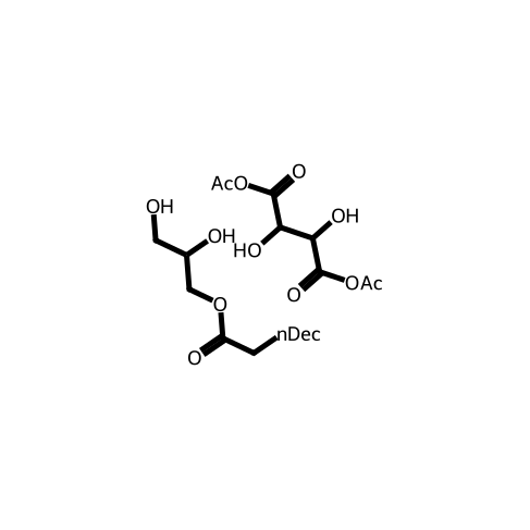 CC(=O)OC(=O)C(O)C(O)C(=O)OC(C)=O.CCCCCCCCCCCC(=O)OCC(O)CO